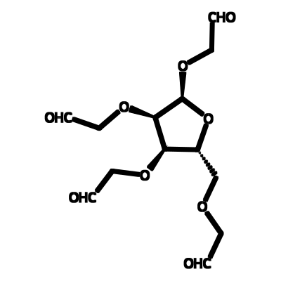 O=CCOC[C@H]1O[C@H](OCC=O)[C@H](OCC=O)[C@@H]1OCC=O